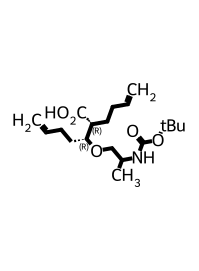 C=CCC[C@@H](OCC(C)NC(=O)OC(C)(C)C)[C@@H](CCC=C)C(=O)O